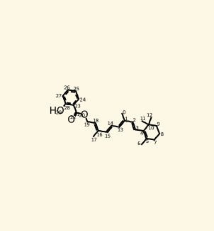 CC(C=CC1=C(C)CCCC1(C)C)=CC=CC(C)=CCOC(=O)c1ccccc1O